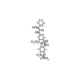 COc1cc(NC(=O)[C@@H](O)c2ccccc2)ccc1S(=O)(=O)Nc1cccc(OC(F)(P)P)c1